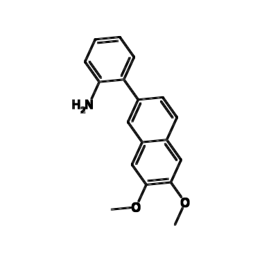 COc1cc2ccc(-c3ccccc3N)cc2cc1OC